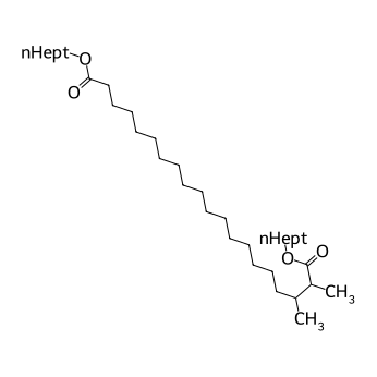 CCCCCCCOC(=O)CCCCCCCCCCCCCCCCC(C)C(C)C(=O)OCCCCCCC